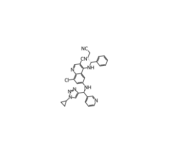 N#CCC[C@@H](Nc1c(C#N)cnc2c(Cl)cc(N[C@@H](c3cccnc3)c3cn(C4CC4)nn3)cc12)c1ccccc1